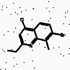 CCc1cc(Cl)c2ccc(Br)c(C)c2n1